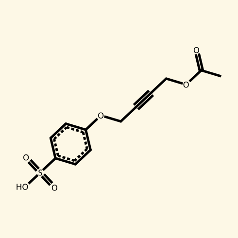 CC(=O)OCC#CCOc1ccc(S(=O)(=O)O)cc1